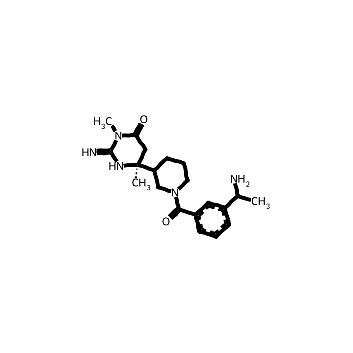 CC(N)c1cccc(C(=O)N2CCCC([C@]3(C)CC(=O)N(C)C(=N)N3)C2)c1